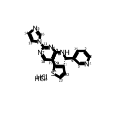 Cl.Cl.c1cncc(CNc2nc(-n3ccnc3)ncc2-c2cccs2)c1